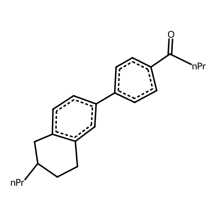 CCCC(=O)c1ccc(-c2ccc3c(c2)CCC(CCC)C3)cc1